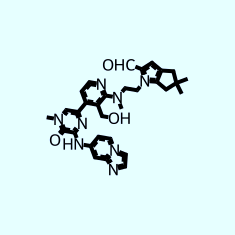 CN(CCn1c(C=O)cc2c1CC(C)(C)C2)c1nccc(-c2cn(C)c(=O)c(Nc3ccn4ccnc4c3)n2)c1CO